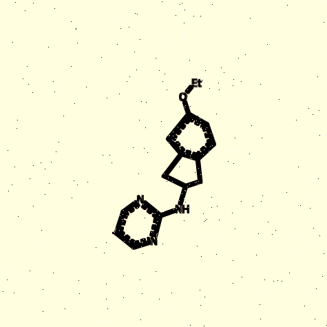 CCOc1ccc2c(c1)CC(Nc1nc[c]cn1)C2